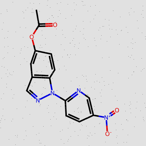 CC(=O)Oc1ccc2c(cnn2-c2ccc([N+](=O)[O-])cn2)c1